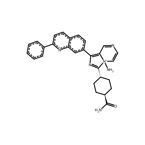 NC(=O)[C@H]1CC[C@H](C2=NC(c3ccc4ccc(-c5ccccc5)nc4c3)=C3C=NC=C[N+]32N)CC1